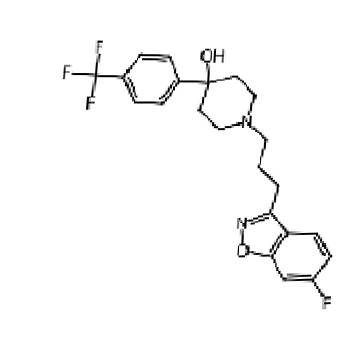 OC1(c2ccc(C(F)(F)F)cc2)CCN(CCCc2noc3cc(F)ccc23)CC1